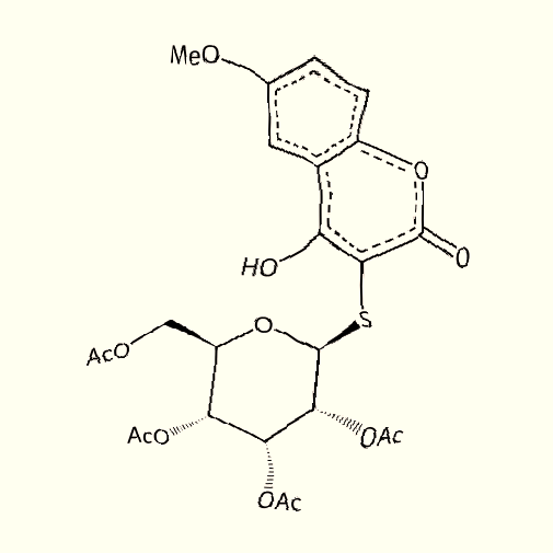 COc1ccc2oc(=O)c(S[C@@H]3O[C@H](COC(C)=O)[C@@H](OC(C)=O)[C@@H](OC(C)=O)[C@H]3OC(C)=O)c(O)c2c1